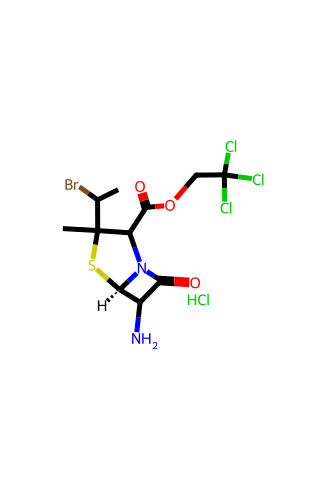 CC(Br)C1(C)S[C@@H]2C(N)C(=O)N2C1C(=O)OCC(Cl)(Cl)Cl.Cl